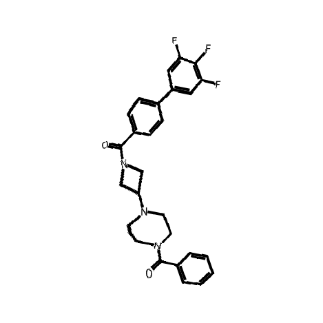 O=C(c1ccccc1)N1CCN(C2CN(C(=O)c3ccc(-c4cc(F)c(F)c(F)c4)cc3)C2)CC1